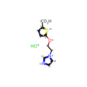 Cl.O=C(O)c1ccc(OCCn2ccnc2)s1